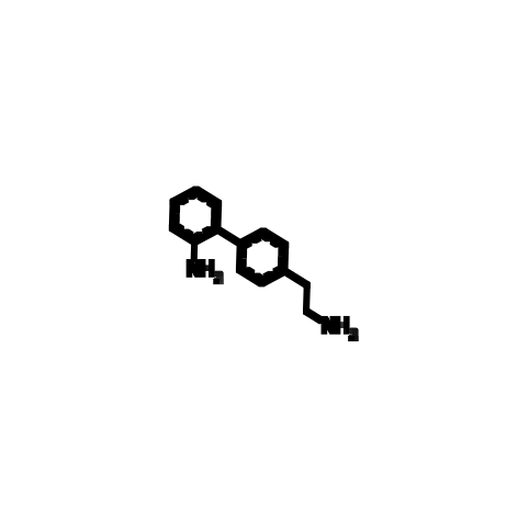 NCCc1ccc(-c2ccccc2N)cc1